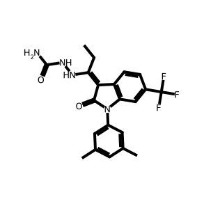 CC/C(NNC(N)=O)=C1/C(=O)N(c2cc(C)cc(C)c2)c2cc(C(F)(F)F)ccc21